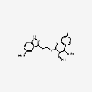 CO/C(=C(\C=N)C(=O)NCCc1c[nH]c2ccc(OC)cc12)c1ccc(C)cc1